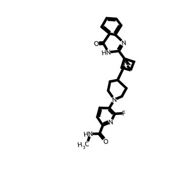 CNC(=O)c1ccc(N2CCC(N3CC4(c5nc6ccccc6c(=O)[nH]5)CC3C4)CC2)c(F)n1